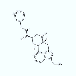 CC(C)Cn1cc2c3c(cccc31)[C@H]1C[C@@H](C(=O)NCc3cccnc3)CN(C)[C@@H]1C2